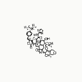 CC(NC(CC1C2(CO2)C(NC(C)C(=O)N2CCOCC2)CC2[C@]1(C)CC[C@@H](O)[C@@]2(C)CO)C1=C/C(=C\c2ccc(N(C)C)cc2)OC1=O)C(=O)NC1=NCC=N1